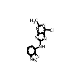 Cc1nc(Cl)c2nc(Nc3cccc4nsnc34)sc2n1